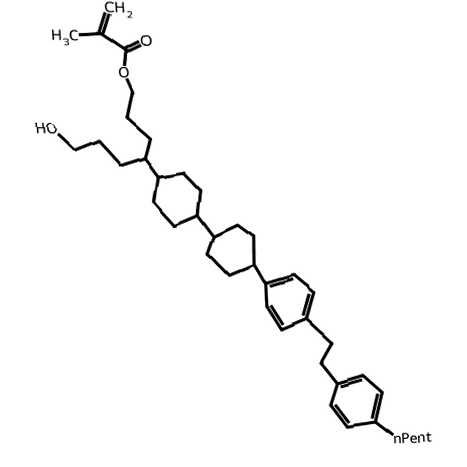 C=C(C)C(=O)OCCCC(CCCO)C1CCC(C2CCC(c3ccc(CCc4ccc(CCCCC)cc4)cc3)CC2)CC1